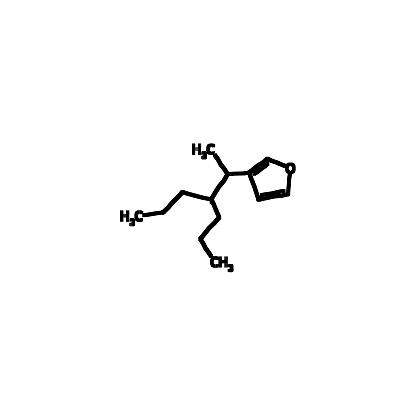 CCC[C](CCC)C(C)c1ccoc1